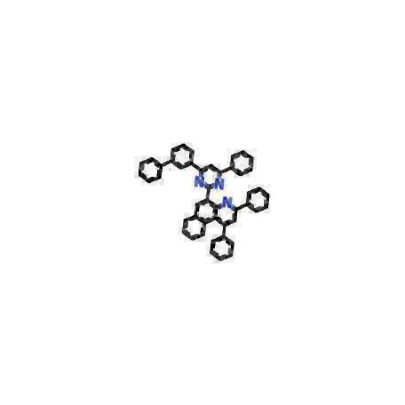 c1ccc(-c2cccc(-c3cc(-c4ccccc4)nc(-c4cc5ccccc5c5c(-c6ccccc6)cc(-c6ccccc6)nc45)n3)c2)cc1